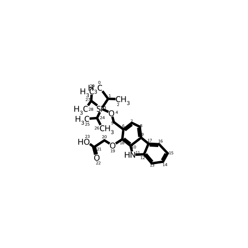 CC(C)[Si](OCc1ccc2c([nH]c3ccccc32)c1OCC(=O)O)(C(C)C)C(C)C